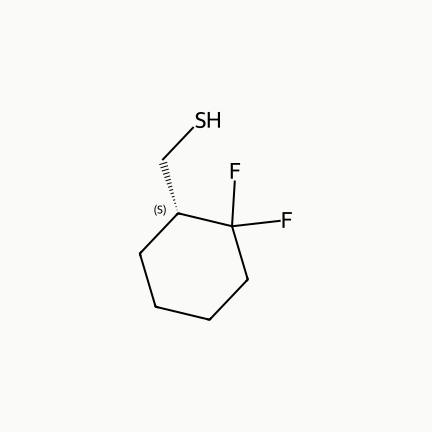 FC1(F)CCCC[C@@H]1CS